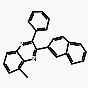 Cc1cccc2nc(-c3ccccc3)c(-c3ccc4ccccc4c3)nc12